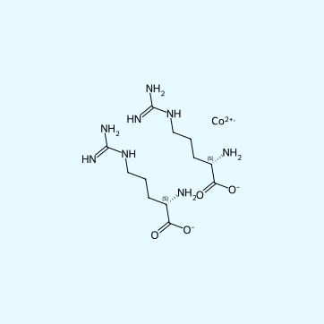 N=C(N)NCCC[C@H](N)C(=O)[O-].N=C(N)NCCC[C@H](N)C(=O)[O-].[Co+2]